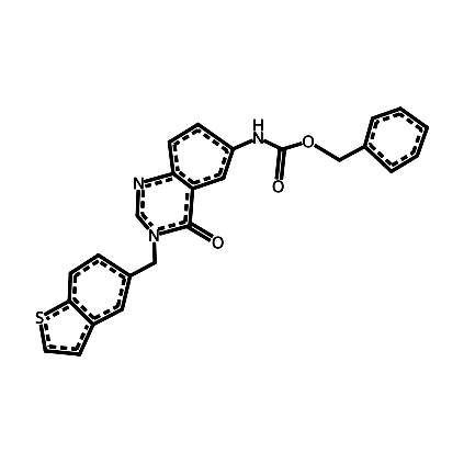 O=C(Nc1ccc2ncn(Cc3ccc4sccc4c3)c(=O)c2c1)OCc1ccccc1